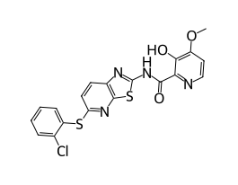 COc1ccnc(C(=O)Nc2nc3ccc(Sc4ccccc4Cl)nc3s2)c1O